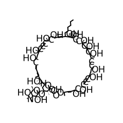 CCCCCCC1/C=C(\C)[C@@H](O)C[C@H](O)CCC[C@H](O)[C@@H](C)[C@H](O)C/C=C/C=C(\C)[C@@H](O)[C@H](C)[C@@H]2C[C@H](OC3O[C@H](C)[C@@H](O)[C@H](N(C)C)[C@H]3O)[C@@H](C)C(O)(CC(=O)OC(C)/C=C/[C@@H](O)C[C@@H](O)CCC[C@H](O)[C@@H](C)[C@H](O)CC[C@H](C)[C@H](O)C[C@@H](O)C[C@H](O)CCC(O)[C@@H]1O)O2